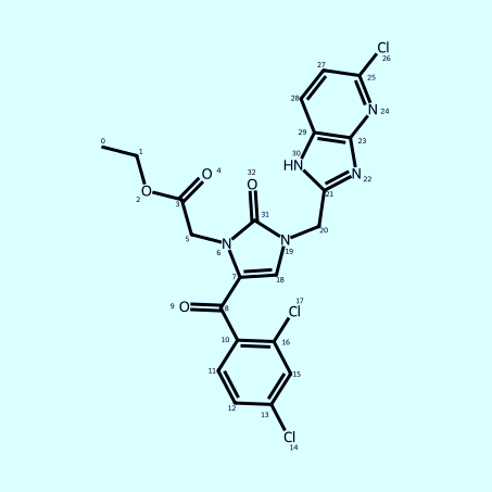 CCOC(=O)Cn1c(C(=O)c2ccc(Cl)cc2Cl)cn(Cc2nc3nc(Cl)ccc3[nH]2)c1=O